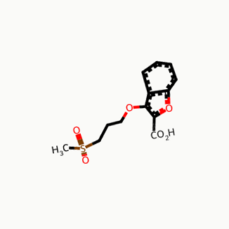 CS(=O)(=O)CCCOc1c(C(=O)O)oc2ccccc12